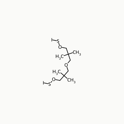 CC(C)(COCC(C)(C)COSI)COSI